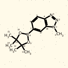 Cn1nnc2ccc(B3OC(C)(C)C(C)(C)O3)cc21